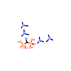 CCC(P(=O)(O)O)P(=O)(O)O.CN(C)C.CN(C)C.CN(C)C.CN(C)C